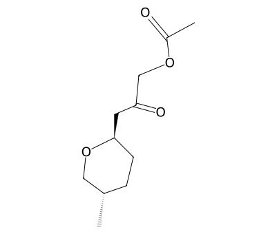 CC(=O)OCC(=O)C[C@H]1CC[C@H](C)CO1